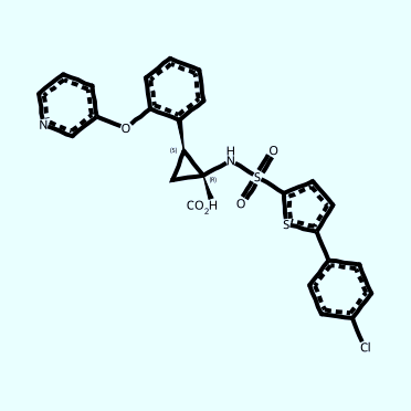 O=C(O)[C@@]1(NS(=O)(=O)c2ccc(-c3ccc(Cl)cc3)s2)C[C@H]1c1ccccc1Oc1cccnc1